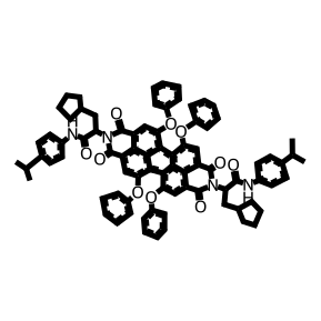 CC(C)c1ccc(NC(=O)C(CC2CCCC2)N2C(=O)c3cc(Oc4ccccc4)c4c5c(Oc6ccccc6)cc6c7c(cc(Oc8ccccc8)c(c8c(Oc9ccccc9)cc(c3c48)C2=O)c75)C(=O)N(C(CC2CCCC2)C(=O)Nc2ccc(C(C)C)cc2)C6=O)cc1